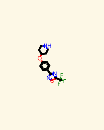 FC(F)(F)c1nc(-c2ccc(OC3CCNCC3)cc2)no1